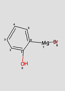 Oc1cccc[c]1[Mg][Br]